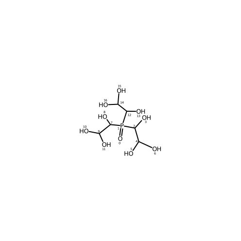 O=P(C(O)C(O)O)(C(O)C(O)O)C(O)C(O)O